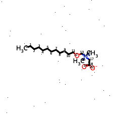 CCCCCCCCCCCCOC[N+](C)(C)CC(=O)[O-]